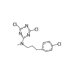 CN(CCCc1ccc(Cl)cc1)c1nc(Cl)nc(Cl)n1